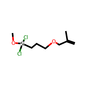 C=C(C)COCCC[Si](Cl)(Cl)OC